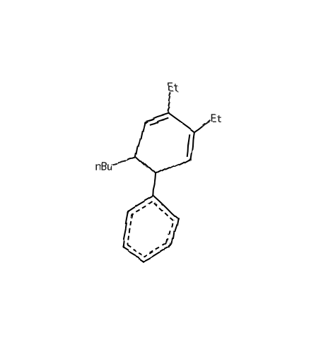 CCCCC1C=C(CC)C(CC)=CC1c1ccccc1